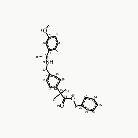 COc1cccc([C@@H](C)NCc2ccc(C(C)(C)C(=O)OCc3ccccc3)cc2)c1